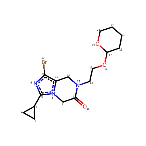 O=C1Cn2c(C3CC3)nc(Br)c2CN1CCOC1CCCCO1